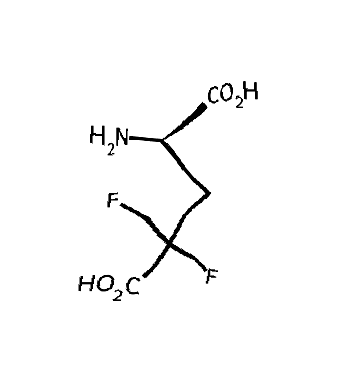 N[C@H](CC(F)(F)C(=O)O)C(=O)O